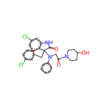 O=C(CN(c1ccccc1)C1(Cc2cccc(Cl)c2)C(=O)Nc2cc(Cl)ccc21)N1CCC(O)CC1